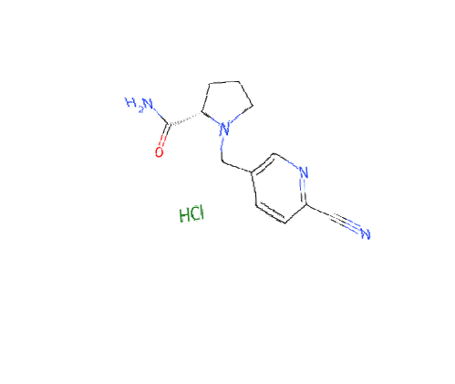 Cl.N#Cc1ccc(CN2CCC[C@H]2C(N)=O)cn1